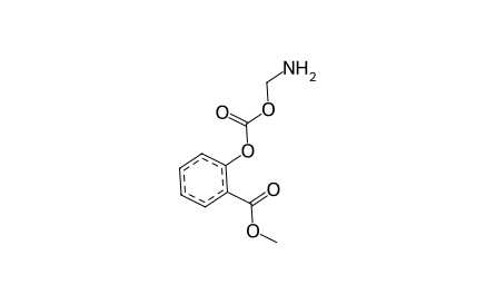 COC(=O)c1ccccc1OC(=O)OCN